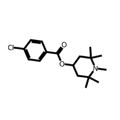 CN1C(C)(C)CC(OC(=O)c2ccc(Cl)cc2)CC1(C)C